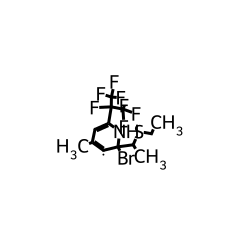 CCSC(C)C1(Br)[C]=C(C)C=C(C(F)(C(F)(F)F)C(F)(F)F)N1